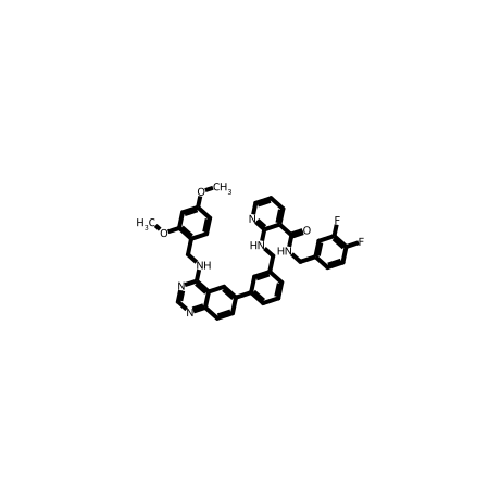 COc1ccc(CNc2ncnc3ccc(-c4cccc(CNc5ncccc5C(=O)NCc5ccc(F)c(F)c5)c4)cc23)c(OC)c1